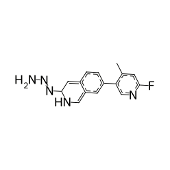 Cc1cc(F)ncc1-c1ccc2c(c1)=CNC(N=NN)C=2